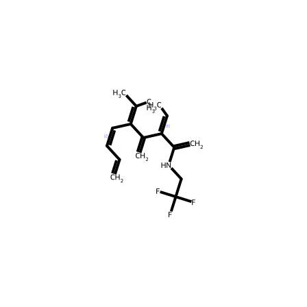 C=C/C=C\C(C(=C)/C(=C\C)C(=C)NCC(F)(F)F)=C(C)C